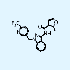 CC1OC=CC1C(=O)Nc1nn(Cc2ccc(C(F)(F)F)nc2)c2ccccc12